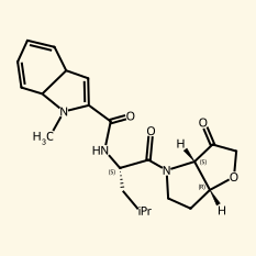 CC(C)C[C@H](NC(=O)C1=CC2C=CC=CC2N1C)C(=O)N1CC[C@H]2OCC(=O)[C@H]21